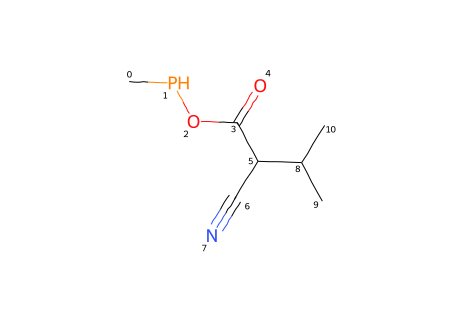 CPOC(=O)C(C#N)C(C)C